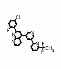 CC(F)(F)c1cccc(-c2cncc(-c3cc(-c4cc(Cl)ccc4F)nc4ncccc34)c2)n1